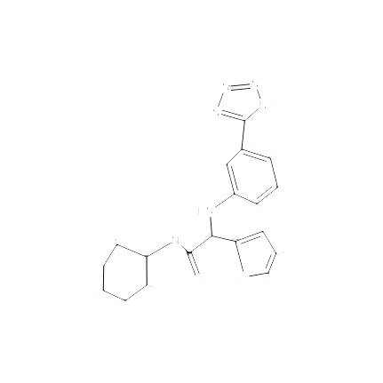 O=C(NC1CCCCC1)C(Nc1cccc(-c2nnn[nH]2)c1)c1cccs1